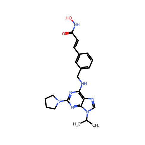 CC(C)n1cnc2c(NCc3cccc(/C=C/C(=O)NO)c3)nc(N3CCCC3)nc21